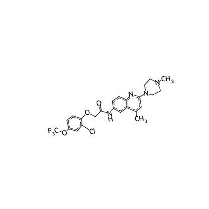 Cc1cc(N2CCN(C)CC2)nc2ccc(NC(=O)COc3ccc(OC(F)(F)F)cc3Cl)cc12